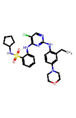 CCc1cc(N2CCOCC2)ccc1Nc1ncc(Cl)c(Nc2ccccc2S(=O)(=O)NC2CCCC2)n1